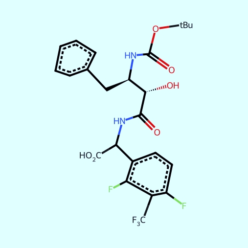 CC(C)(C)OC(=O)N[C@H](Cc1ccccc1)[C@H](O)C(=O)NC(C(=O)O)c1ccc(F)c(C(F)(F)F)c1F